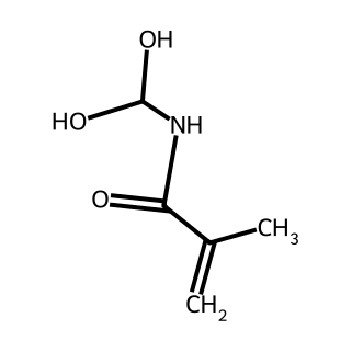 C=C(C)C(=O)NC(O)O